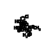 COc1cc(OC)nc(NC(=O)NS(=O)(=O)c2cc(Cl)ccc2O)n1.CS(=O)(=O)O